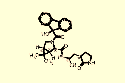 CC1(C)[C@@H]2[C@H]1CN(C(=O)C1(O)c3ccccc3-c3ccccc31)[C@H]2C(=O)N[C@H](C#N)C[C@H]1CCNC1=O